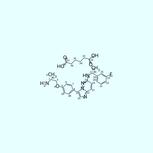 C[C@@H](N)COc1ccc(-c2cnc3ccc(N[C@H](C)c4cccc(F)c4)nn23)cc1.O=C(O)CCCCC(=O)O